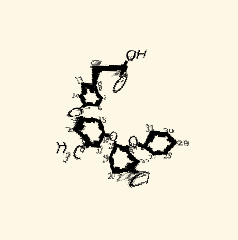 Cc1cc(Oc2ccc(CC(=O)O)cc2)cc(Oc2ccc(Cl)cc2Oc2ccccc2)c1